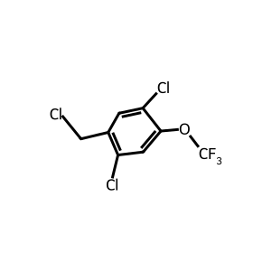 FC(F)(F)Oc1cc(Cl)c(CCl)cc1Cl